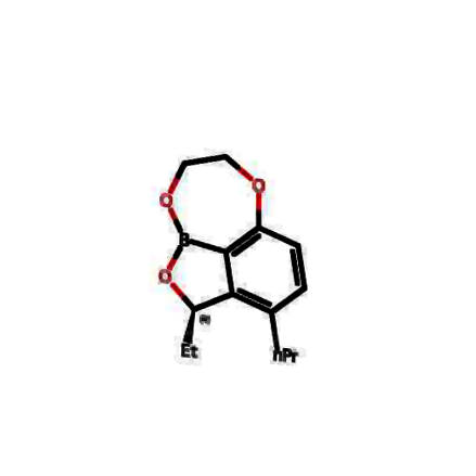 CCCc1ccc2c3c1[C@@H](CC)OB3OCCO2